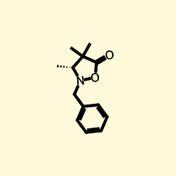 C[C@H]1N(Cc2ccccc2)OC(=O)C1(C)C